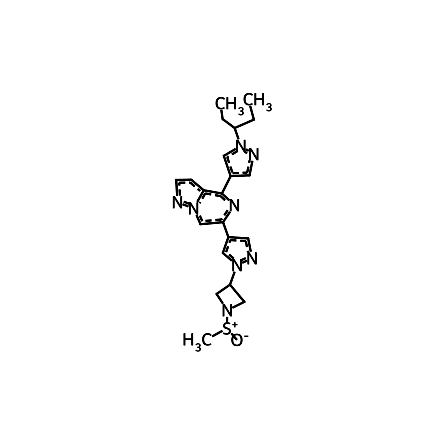 CCC(CC)n1cc(-c2nc(-c3cnn(C4CN([S+](C)[O-])C4)c3)cn3nccc23)cn1